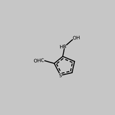 O=Cc1sccc1BO